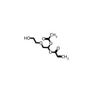 C=CC(=O)OC(COCCO)OC(C)=O